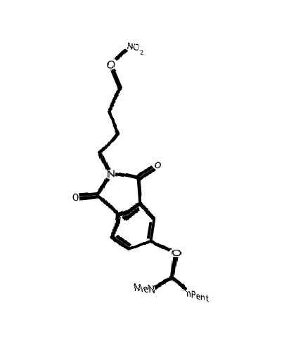 CCCCCC(NC)Oc1ccc2c(c1)C(=O)N(CCCCO[N+](=O)[O-])C2=O